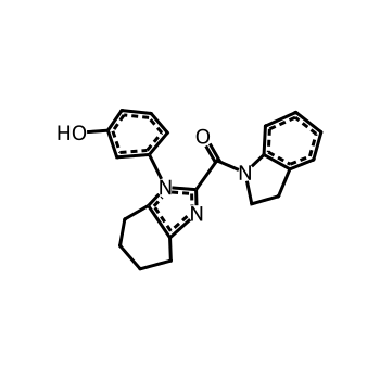 O=C(c1nc2c(n1-c1cccc(O)c1)CCCC2)N1CCc2ccccc21